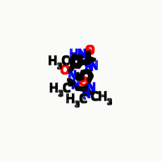 Cc1cc2[nH]c(=O)c3cnn(C4CCOCC4)c3c2cc1C(=O)N1CCN(Cc2cnc(C)n2C)[C@@H](C)C1